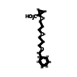 O=C(O)C1(OCCCOCCCOCc2ccccc2)CC1